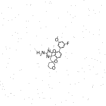 COc1cc(F)cc(-c2ccc3c(c2)C2(CC4(CCCOC4)O3)N=C(N)N(C)C2=O)c1